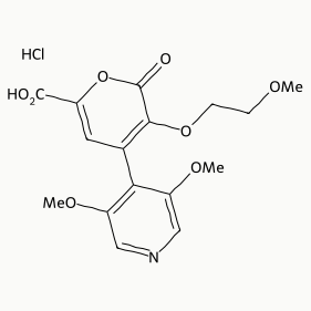 COCCOc1c(-c2c(OC)cncc2OC)cc(C(=O)O)oc1=O.Cl